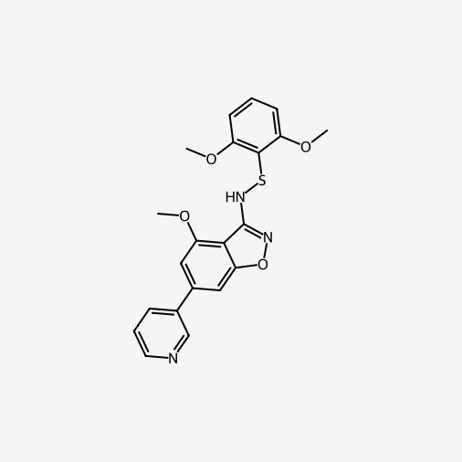 COc1cccc(OC)c1SNc1noc2cc(-c3cccnc3)cc(OC)c12